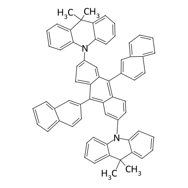 CC1(C)c2ccccc2N(c2ccc3c(-c4ccc5ccccc5c4)c4cc(N5c6ccccc6C(C)(C)c6ccccc65)ccc4c(-c4ccc5ccccc5c4)c3c2)c2ccccc21